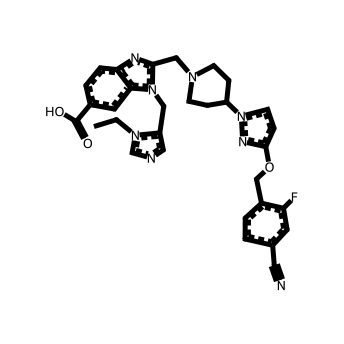 CCn1cncc1Cn1c(CN2CCC(n3ccc(OCc4ccc(C#N)cc4F)n3)CC2)nc2ccc(C(=O)O)cc21